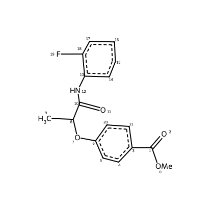 COC(=O)c1ccc(OC(C)C(=O)Nc2ccccc2F)cc1